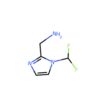 NCc1nccn1C(F)F